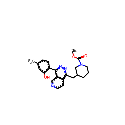 CC(C)(C)OC(=O)N1CCCC(Cc2nnc(-c3ccc(C(F)(F)F)cc3O)c3cnccc23)C1